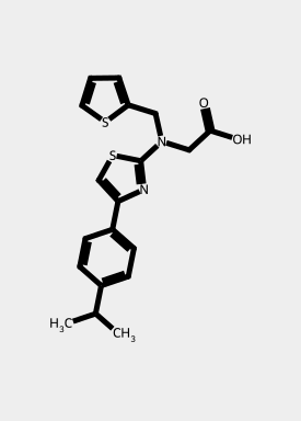 CC(C)c1ccc(-c2csc(N(CC(=O)O)Cc3cccs3)n2)cc1